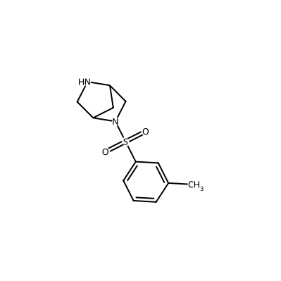 Cc1cccc(S(=O)(=O)N2CC3CC2CN3)c1